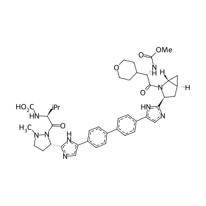 COC(=O)N[C@H](C(=O)N1[C@@H]2C[C@H]2C[C@H]1c1ncc(-c2ccc(-c3ccc(-c4cnc([C@@H]5CCN(C)N5C(=O)[C@@H](NC(=O)O)C(C)C)[nH]4)cc3)cc2)[nH]1)C1CCOCC1